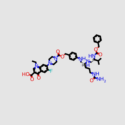 CCn1cc(C(=O)O)c(=O)c2cc(F)c(N3CCN(C(=O)OCc4ccc(NC[C@@H](CCCNC(N)=O)NC[C@H](NC(=O)OCc5ccccc5)C(C)C)cc4)CC3)cc21